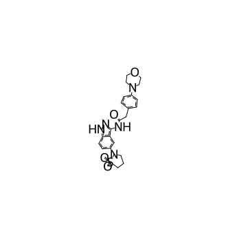 O=C(Cc1ccc(N2CCOCC2)cc1)Nc1n[nH]c2ccc(N3CCCS3(=O)=O)cc12